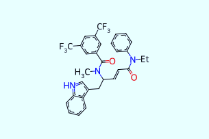 CCN(C(=O)C=CC(Cc1c[nH]c2ccccc12)N(C)C(=O)c1cc(C(F)(F)F)cc(C(F)(F)F)c1)c1ccccc1